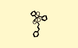 O=C(c1ccccc1)C1(c2ccccc2)COC(CC=Cc2ccccc2)O1